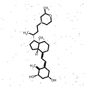 C=C1C(=CC=C2CCC[C@]3(C)[C@@H](C(C)CCN4CCOC(C)C4)CC[C@@H]23)C[C@@H](O)C[C@H]1O